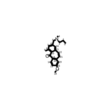 CCCN(C)Cc1cc(C)c2c(=O)c3ccc(OC)cc3ccc2c1